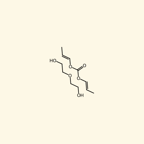 CC=COC(=O)OC=CC.OCCOCCO